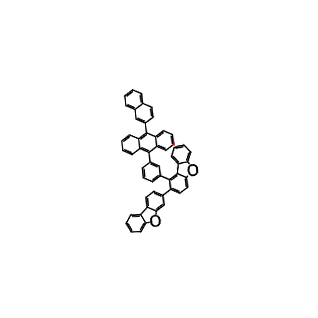 c1cc(-c2c3ccccc3c(-c3ccc4ccccc4c3)c3ccccc23)cc(-c2c(-c3ccc4c(c3)oc3ccccc34)ccc3oc4ccccc4c23)c1